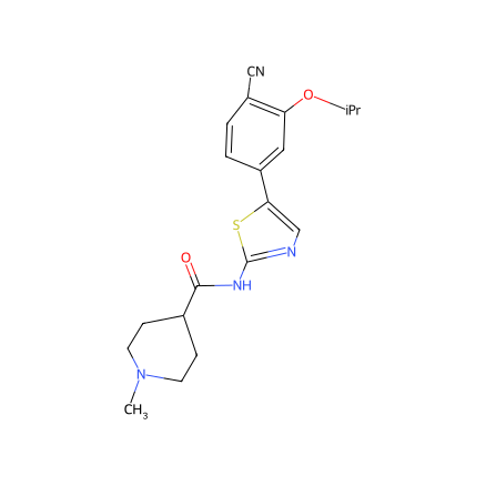 CC(C)Oc1cc(-c2cnc(NC(=O)C3CCN(C)CC3)s2)ccc1C#N